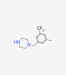 Cc1cc(CN2CCNCC2)cc(C(F)(F)F)c1